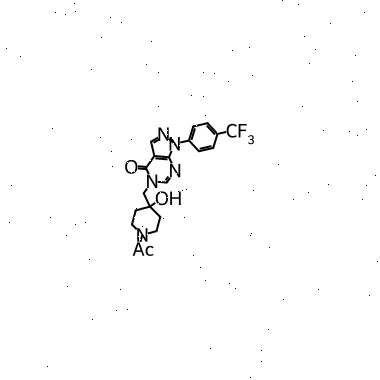 CC(=O)N1CCC(O)(Cn2cnc3c(cnn3-c3ccc(C(F)(F)F)cc3)c2=O)CC1